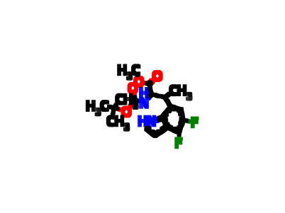 COC(=O)C(NC(=O)OC(C)(C)C)C(C)c1cc(F)c(F)c2cc[nH]c12